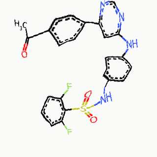 CC(=O)c1ccc(-c2cc(Nc3ccc(NS(=O)(=O)c4c(F)cccc4F)cc3)ncn2)cc1